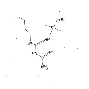 CCCCNC(=N)NC(=N)N.C[Si](C)(C)Cl.Cl